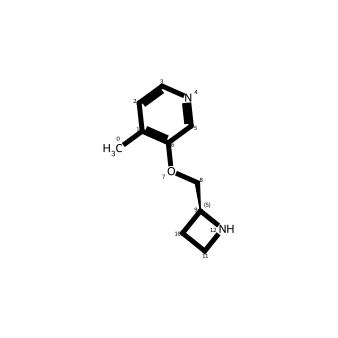 Cc1ccncc1OC[C@@H]1CCN1